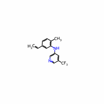 C=Cc1ccc(C)c(Nc2cncc(C(F)(F)F)c2)c1